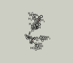 CC[C@]1(O)C[C@H]2CN(Cc3c([nH]c4ccccc34)[C@@](C(=O)OC)(c3cc4c(cc3OC)N(C)[C@H]3[C@@](O)(C(=O)NNC(=O)OCCSSC[C@H](NC(=O)[C@H](Cc5cn(CCO[C@@H]6OC(C(=O)O)[C@@H](O)[C@H](O)C6O)nn5)NC(=O)c5ccc(NCc6cnc7nc(N)[nH]c(=O)c7n6)cc5)C(=O)O)[C@H](O)[C@]5(CC)C=CCN6CC[C@]43[C@@H]65)C2)C1